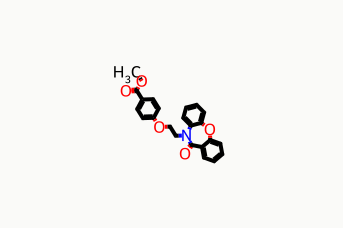 COC(=O)c1ccc(OCCN2C(=O)c3ccccc3Oc3ccccc32)cc1